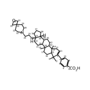 CC1(C)C(c2ccc(C(=O)O)cc2)=CCC2(C)C1CCC1(C)C3CCC4(NCCN5CCC6(CC5)COC6)CCC[C@@H]4C3CCC12